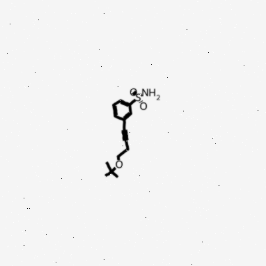 CC(C)(C)OCCC#Cc1cccc(S(N)(=O)=O)c1